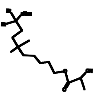 CCCCCCCCCC(CC)(CC)CCC(C)(C)CCCCCOC(=O)C(C)O